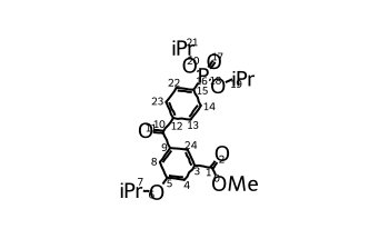 COC(=O)c1cc(OC(C)C)cc(C(=O)c2ccc(P(=O)(OC(C)C)OC(C)C)cc2)c1